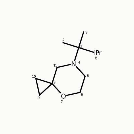 CC(C)C(C)(C)N1CCOC2(CC2)C1